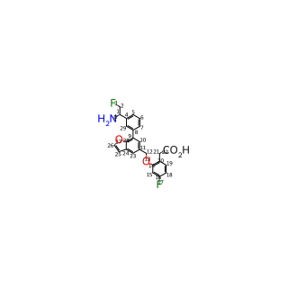 N[C@@H](CF)c1cccc(-c2cc(COc3cc(F)ccc3CC(=O)O)cc3ccoc23)c1